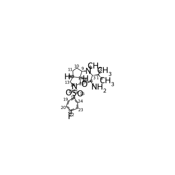 CC(C)[C@@H](C(N)=O)N(C)[C@@H]1CC[C@H]2CN(S(=O)(=O)c3ccc(F)cc3)C[C@H]21